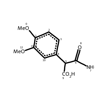 COc1ccc(C(C([NH])=O)C(=O)O)cc1OC